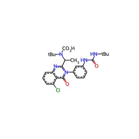 CC(c1nc2cccc(Cl)c2c(=O)n1-c1cccc(NC(=O)NC(C)(C)C)c1)N(C(=O)O)C(C)(C)C